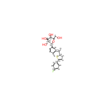 Cc1ccc([C@@H]2O[C@H](CO)[C@@H](O)[C@H](O)[C@H]2O)cc1C(C)C1CC=C(c2ccc(F)cc2)S1